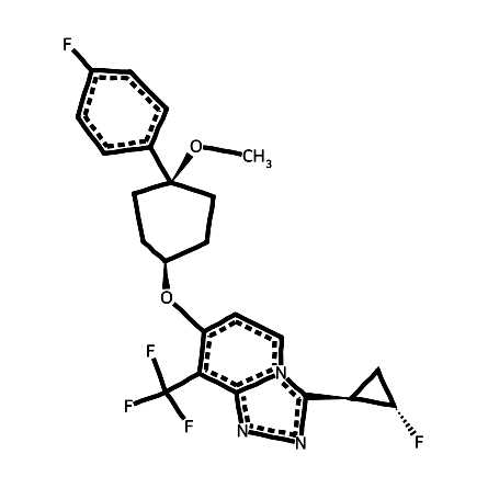 CO[C@]1(c2ccc(F)cc2)CC[C@H](Oc2ccn3c([C@H]4C[C@@H]4F)nnc3c2C(F)(F)F)CC1